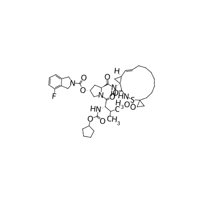 CC(C)[C@H](NC(=O)OC1CCCC1)C(=O)N1C[C@H](OC(=O)N2Cc3cccc(F)c3C2)C[C@H]1C(=O)N[C@]12C[C@H]1/C=C/CCCCCCCC1(CC1)S(=O)(=O)NC2=O